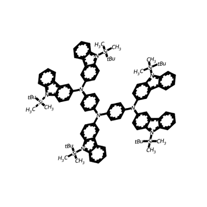 CC(C)(C)[Si](C)(C)n1c2ccccc2c2cc(N(c3ccc(N(c4ccc5c(c4)c4ccccc4n5[Si](C)(C)C(C)(C)C)c4ccc5c(c4)c4ccccc4n5[Si](C)(C)C(C)(C)C)cc3)c3ccc(N(c4ccc5c(c4)c4ccccc4n5[Si](C)(C)C(C)(C)C)c4ccc5c(c4)c4ccccc4n5[Si](C)(C)C(C)(C)C)cc3)ccc21